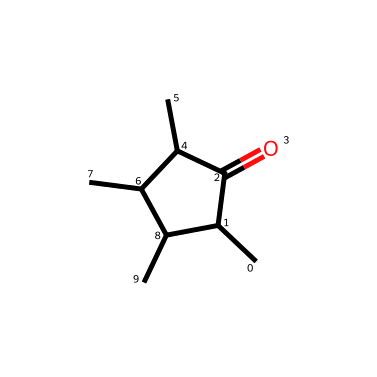 CC1C(=O)C(C)C(C)C1C